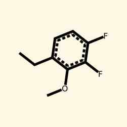 CCc1ccc(F)c(F)c1OC